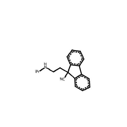 CC(C)NCCC1(C#N)c2ccccc2-c2ccccc21